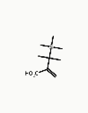 C=C(C(=O)O)C(C)(C)[Si](C)(C)C